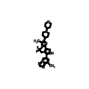 Cc1nc(-c2n[nH]c(-c3cc(C)c4ncnn4c3)c2CC(F)(F)F)sc1C1CCN(C2CCOCC2)CC1